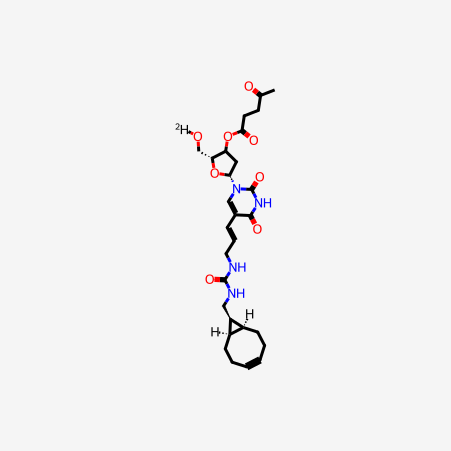 [2H]OC[C@H]1O[C@@H](n2cc(/C=C/CNC(=O)NC[C@@H]3[C@@H]4CCC#CCC[C@@H]43)c(=O)[nH]c2=O)CC1OC(=O)CCC(C)=O